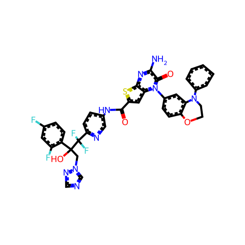 Nc1nc2sc(C(=O)Nc3ccc(C(F)(F)C(O)(Cn4cncn4)c4ccc(F)cc4F)nc3)cc2n(-c2ccc3c(c2)N(c2ccccc2)CCO3)c1=O